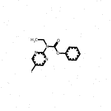 CCN(C(=O)Oc1ccccc1)c1ncc(I)cn1